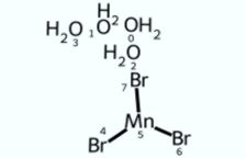 O.O.O.O.[Br][Mn]([Br])[Br]